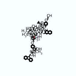 C#CCOc1ccc(C[C@H](NC(=O)[C@H](Cc2ccc3ccccc3c2)NC(=O)[C@@H]2C[C@H](n3cc(COc4ccc(C[C@](C)(NC(=O)OCC5c6ccccc6-c6ccccc65)C(=O)O)cc4)nn3)CN2C(=O)[C@@H](NC(=O)[C@H](C)N(C)C(=O)OC(C)(C)C)C(C)(C)C)C(=O)NS(=O)(=O)C2CC2)cc1